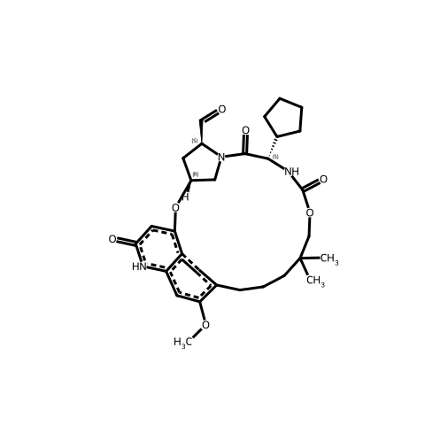 COc1cc2[nH]c(=O)cc3c2cc1CCCC(C)(C)COC(=O)N[C@@H](C1CCCC1)C(=O)N1C[C@@H](C[C@H]1C=O)O3